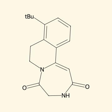 CC(C)(C)c1cccc2c1CCN1C(=O)CNC(=O)C=C21